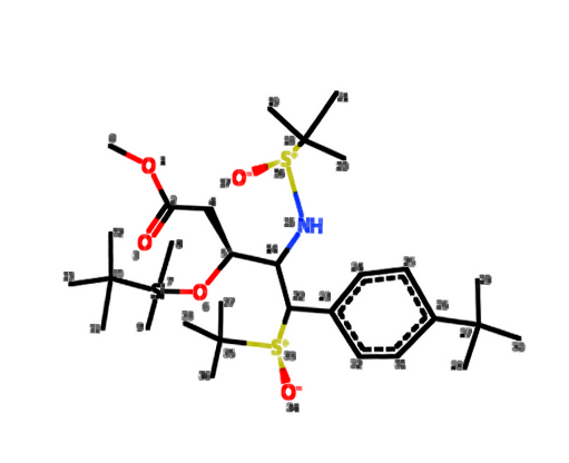 COC(=O)C[C@H](O[Si](C)(C)C(C)(C)C)C(N[S@@+]([O-])C(C)(C)C)C(c1ccc(C(C)(C)C)cc1)[S@@+]([O-])C(C)(C)C